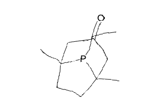 CCP1C2(C)CCC1(C)CC(=O)C2